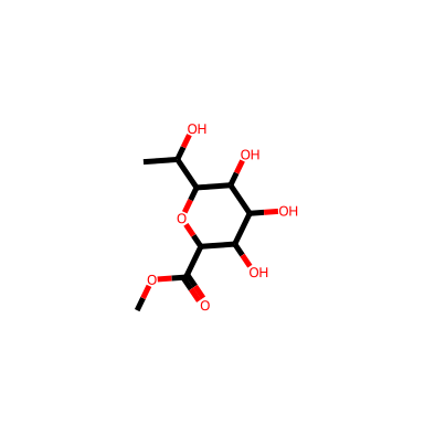 COC(=O)C1OC(C(C)O)C(O)C(O)C1O